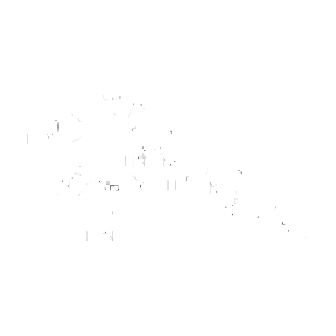 NCCC[C@@H]1NC(=O)[C@@H](N)Cc2cc(ccc2O)-c2ccc(O)c(c2)C[C@@H](C(=O)NCC(O)CNC(=O)[C@@H](N)CCCN)NC1=O